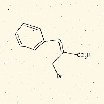 O=C(O)C(=Cc1ccccc1)CBr